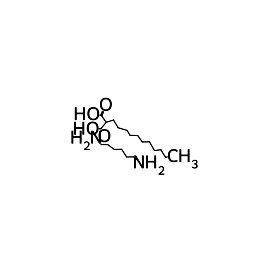 CCCCCCCCCCCC(C(=O)O)C(=O)O.NCCCCCCN